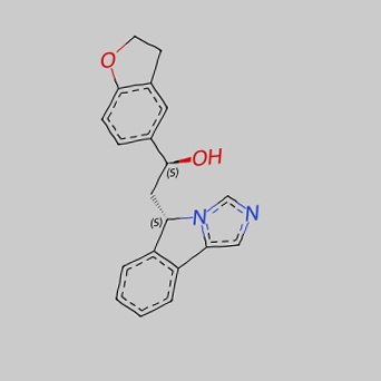 O[C@@H](C[C@H]1c2ccccc2-c2cncn21)c1ccc2c(c1)CCO2